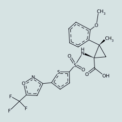 COc1ccccc1[C@]1(C)C[C@]1(NS(=O)(=O)c1ccc(-c2cc(C(F)(F)F)on2)s1)C(=O)O